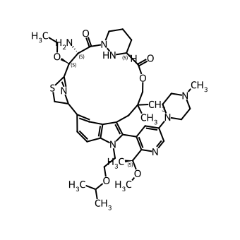 CCO[C@@H]1C2=NC(CS2)c2ccc3c(c2)c(c(-c2cc(N4CCN(C)CC4)cnc2[C@H](C)OC)n3CCOC(C)C)CC(C)(C)COC(=O)[C@@H]2CCCN(N2)C(=O)[C@H]1N